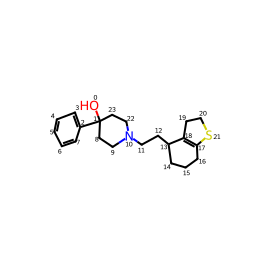 OC1(c2ccccc2)CCN(CCC2CCCC3=C2CCS3)CC1